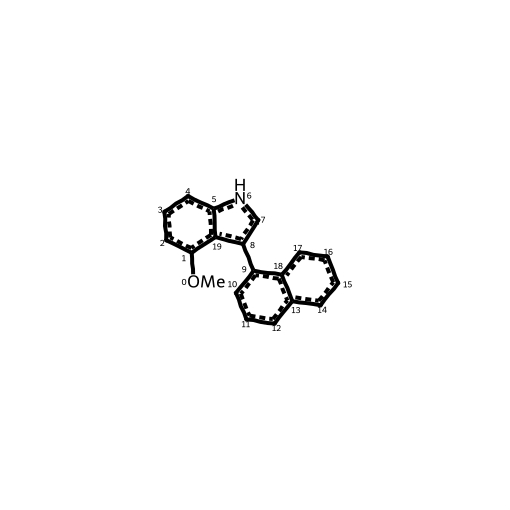 COc1cccc2[nH][c]c(-c3cccc4ccccc34)c12